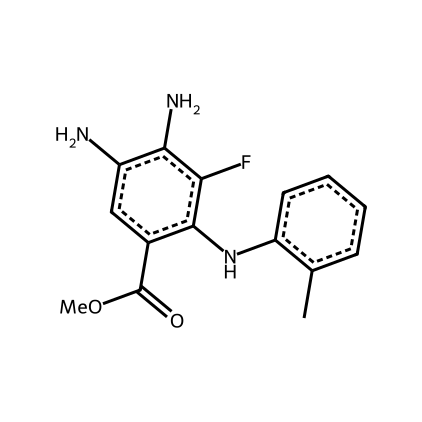 COC(=O)c1cc(N)c(N)c(F)c1Nc1ccccc1C